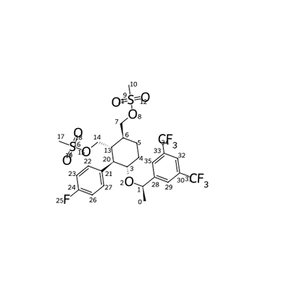 C[C@@H](O[C@H]1CC[C@H](COS(C)(=O)=O)[C@@H](COS(C)(=O)=O)[C@@H]1c1ccc(F)cc1)c1cc(C(F)(F)F)cc(C(F)(F)F)c1